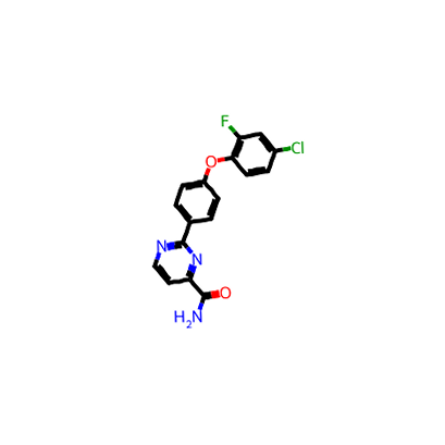 NC(=O)c1ccnc(-c2ccc(Oc3ccc(Cl)cc3F)cc2)n1